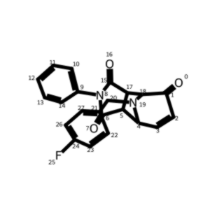 O=C1C=CC2C3C(=O)N(c4ccccc4)C(=O)C3C1N2Cc1ccc(F)cc1